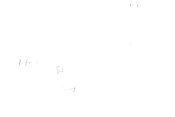 CC(=O)OC/C=C/B(O)O